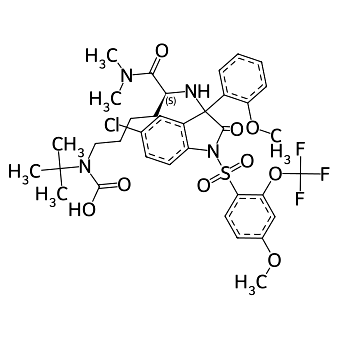 COc1ccc(S(=O)(=O)N2C(=O)C(N[C@@H](CCCCN(C(=O)O)C(C)(C)C)C(=O)N(C)C)(c3ccccc3OC)c3cc(Cl)ccc32)c(OC(F)(F)F)c1